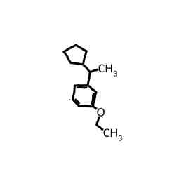 CCOc1c[c]cc(C(C)C2CCCC2)c1